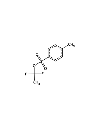 Cc1ccc(S(=O)(=O)OC(C)(F)F)cc1